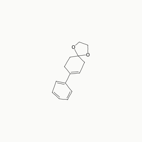 C1=C(c2ccccc2)CCC2(C1)OCCO2